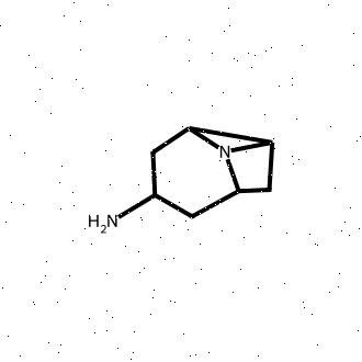 NC1CC2CC3C(C1)N23